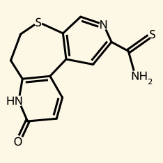 NC(=S)c1cc2c(cn1)SCCc1[nH]c(=O)ccc1-2